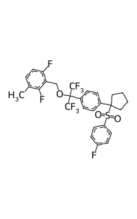 Cc1ccc(F)c(COC(c2ccc(C3(S(=O)(=O)c4ccc(F)cc4)CCCC3)cc2)(C(F)(F)F)C(F)(F)F)c1F